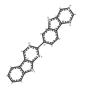 c1ccc2c(c1)oc1nc(-c3ccc4c(c3)oc3cncnc34)ncc12